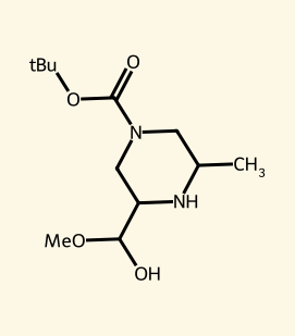 COC(O)C1CN(C(=O)OC(C)(C)C)CC(C)N1